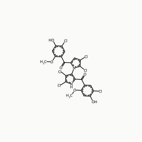 COc1cc(O)c(Cl)cc1C(=O)c1[nH]c(Cl)c(Cl)c1-n1c(C(=O)c2cc(Cl)c(O)cc2OC)cc(Cl)c1Cl